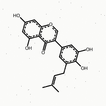 CC(C)=CCc1cc(-c2coc3cc(O)cc(O)c3c2=O)cc(O)c1O